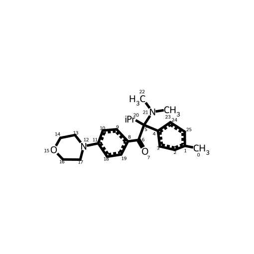 Cc1ccc(C(C(=O)c2ccc(N3CCOCC3)cc2)(C(C)C)N(C)C)cc1